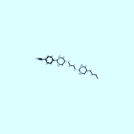 CCCC[C@H]1CO[C@H](CCCC[C@H]2CO[C@H](c3ccc(C#N)cc3)OC2)OC1